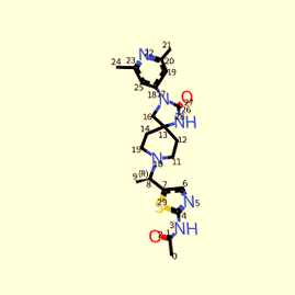 CC(=O)Nc1ncc([C@@H](C)N2CCC3(CC2)CN(c2cc(C)nc(C)c2)C(=O)N3)s1